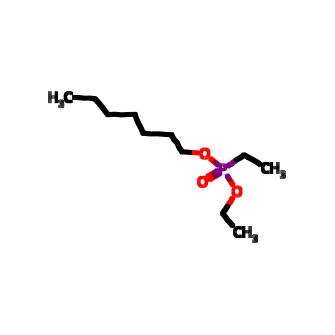 CCCCCCCOP(=O)(CC)OCC